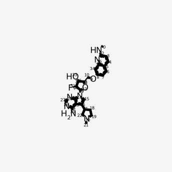 CNc1ccc2ccc(OC[C@H]3O[C@@H](n4cc(C5CCN(C)C5)c5c(N)ncnc54)[C@@H](F)[C@@H]3O)cc2n1